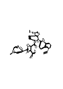 Cn1cnc(-c2nc(C(F)F)c(C(=O)N3CCc4[nH]cnc4[C@H]3c3cc4c(F)cccc4o3)o2)c1